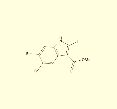 COC(=O)c1c(I)[nH]c2cc(Br)c(Br)cc12